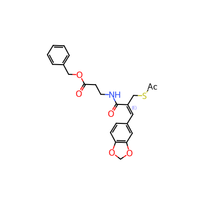 CC(=O)SC/C(=C/c1ccc2c(c1)OCO2)C(=O)NCCC(=O)OCc1ccccc1